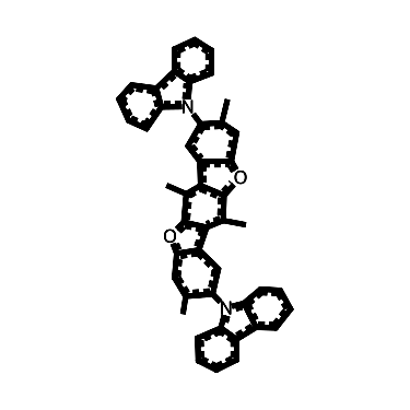 Cc1cc2oc3c(C)c4c(oc5cc(C)c(-n6c7ccccc7c7ccccc76)cc54)c(C)c3c2cc1-n1c2ccccc2c2ccccc21